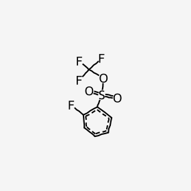 O=S(=O)(OC(F)(F)F)c1ccccc1F